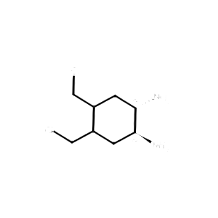 N[C@H]1CC(CCl)C(CCl)C[C@@H]1N